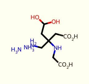 N.N.NCC(CC(=O)O)(CC(O)O)NCC(=O)O